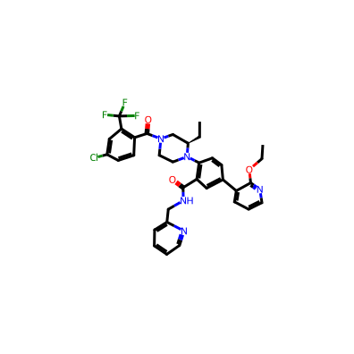 CCOc1ncccc1-c1ccc(N2CCN(C(=O)c3ccc(Cl)cc3C(F)(F)F)C[C@H]2CC)c(C(=O)NCc2ccccn2)c1